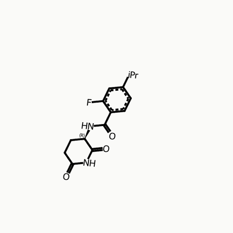 CC(C)c1ccc(C(=O)N[C@@H]2CCC(=O)NC2=O)c(F)c1